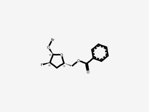 O=C(OC[C@@H]1C[C@@H](F)[C@@H](OBr)O1)c1ccccc1